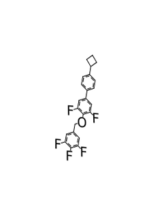 Fc1cc(COc2c(F)cc(-c3ccc(C4CCC4)cc3)cc2F)cc(F)c1F